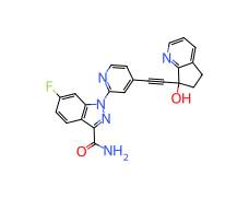 NC(=O)c1nn(-c2cc(C#CC3(O)CCc4cccnc43)ccn2)c2cc(F)ccc12